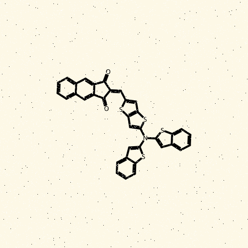 O=C1C(=Cc2cc3sc(N(c4cc5ccccc5s4)c4cc5ccccc5s4)cc3s2)C(=O)c2cc3ccccc3cc21